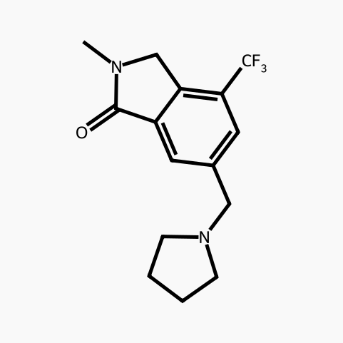 CN1Cc2c(cc(CN3CCCC3)cc2C(F)(F)F)C1=O